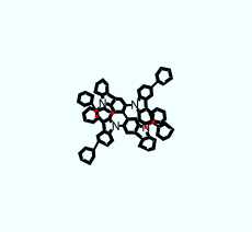 c1ccc(-c2ccc3c(c2)c2cc(-c4ccccc4)ccc2n3-c2cc3c4ccccc4n(-c4ccccc4)c3cc2-c2cc3c(cc2-n2c4ccc(-c5ccccc5)cc4c4cc(-c5ccccc5)ccc42)c2ccccc2n3-c2ccccc2)cc1